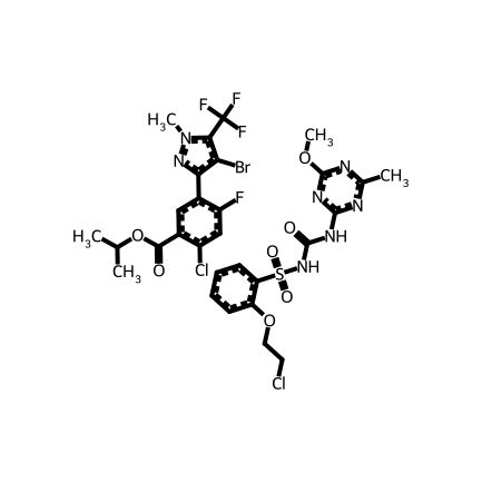 CC(C)OC(=O)c1cc(-c2nn(C)c(C(F)(F)F)c2Br)c(F)cc1Cl.COc1nc(C)nc(NC(=O)NS(=O)(=O)c2ccccc2OCCCl)n1